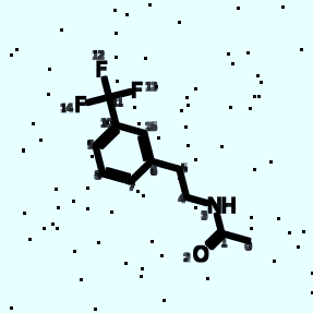 CC(=O)NCCc1cccc(C(F)(F)F)c1